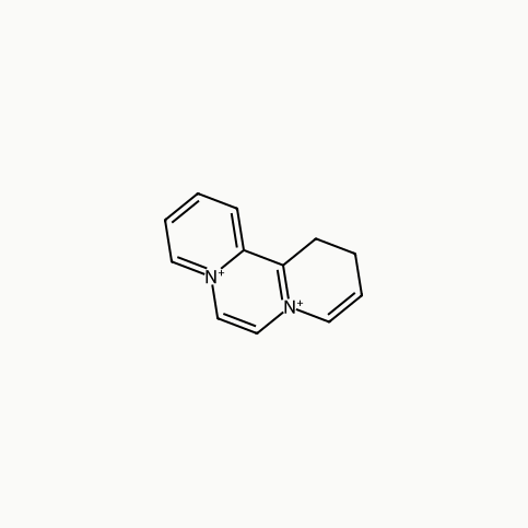 C1=C[n+]2cc[n+]3ccccc3c2CC1